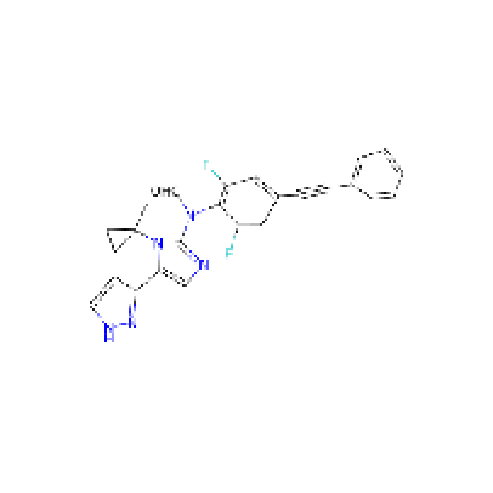 CC1(n2c(-c3cc[nH]n3)cnc2N(C=O)c2c(F)cc(C#Cc3ccccc3)cc2F)CC1